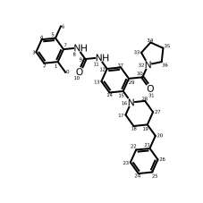 Cc1cccc(C)c1NC(=O)Nc1ccc(N2CCC(Cc3ccccc3)CC2)c(C(=O)N2CCCC2)c1